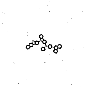 c1ccc(N(c2ccc(-c3cc4ccccc4c4ccccc34)cc2)c2ccc3c4ccccc4n(-c4ccc5c(c4)oc4cc6ccccc6cc45)c3c2)cc1